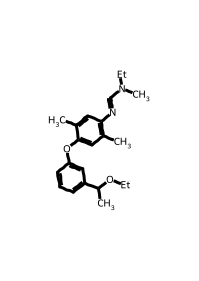 CCOC(C)c1cccc(Oc2cc(C)c(N=CN(C)CC)cc2C)c1